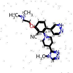 CN(C)CCOc1ccc(-c2ccnnc2)c(N2CCC(c3nncn3C)CC2)c1C#N